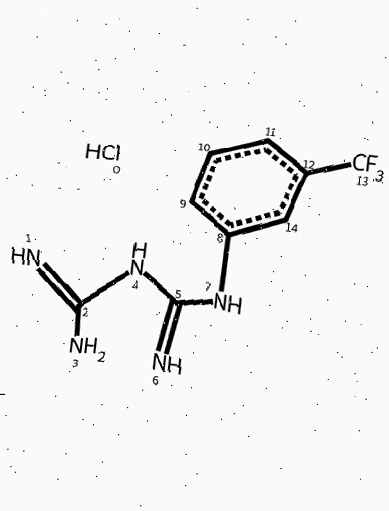 Cl.N=C(N)NC(=N)Nc1cccc(C(F)(F)F)c1